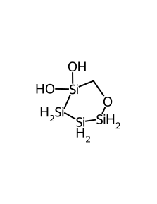 O[Si]1(O)CO[SiH2][SiH2][SiH2]1